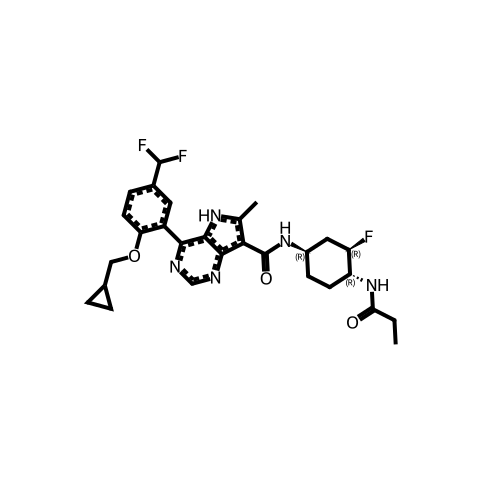 CCC(=O)N[C@@H]1CC[C@@H](NC(=O)c2c(C)[nH]c3c(-c4cc(C(F)F)ccc4OCC4CC4)ncnc23)C[C@H]1F